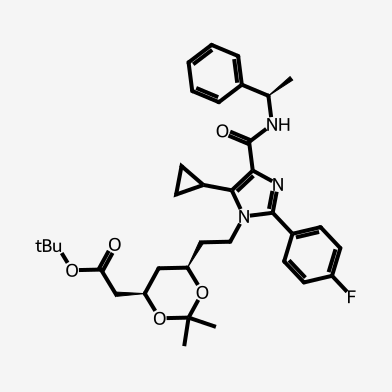 C[C@@H](NC(=O)c1nc(-c2ccc(F)cc2)n(CC[C@@H]2C[C@H](CC(=O)OC(C)(C)C)OC(C)(C)O2)c1C1CC1)c1ccccc1